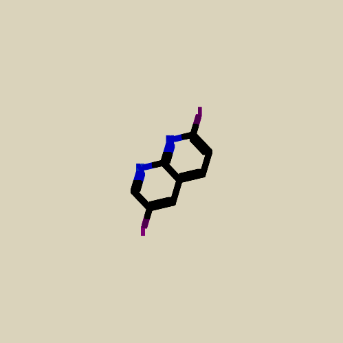 Ic1cnc2nc(I)ccc2c1